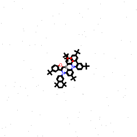 CC(C)(C)c1cc(-c2cc(C(C)(C)C)ccc2N2c3ccc(C(C)(C)C)cc3B3c4oc5ccc(C(C)(C)C)cc5c4N(c4ccc5c(c4)C(C)(C)CCC5(C)C)c4cc(C(C)(C)C)cc2c43)cc(C(C)(C)C)c1